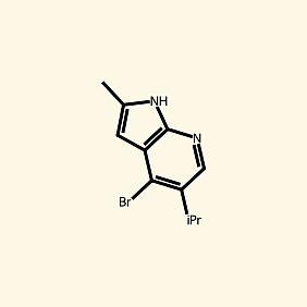 Cc1cc2c(Br)c(C(C)C)cnc2[nH]1